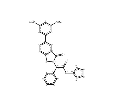 COc1cc(OC)cc(-c2ccc3c(c2)C(=O)N([C@@H](C(=O)Nc2nccs2)c2ccccc2)C3)c1